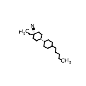 CCCCCC1CCC([C@H]2CC[C@](C#N)(CC)CC2)CC1